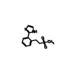 CS(=O)(=O)CCc1ccccc1-c1ncc[nH]1